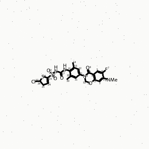 CNc1cc2c(cc1F)C(=O)N(c1cc(C)c(NC(=O)NS(=O)(=O)C3=CCC(Cl)S3)c(C)c1)CO2